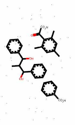 CC(C(O)c1ccccc1)C(O)c1ccccc1.Cc1cc(C)c(C(=O)C(=O)O)c(C)c1.O=C(O)c1ccccc1